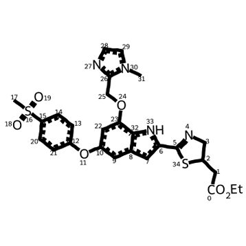 CCOC(=O)CC1CN=C(c2cc3cc(Oc4ccc(S(C)(=O)=O)cc4)cc(OCc4nccn4C)c3[nH]2)S1